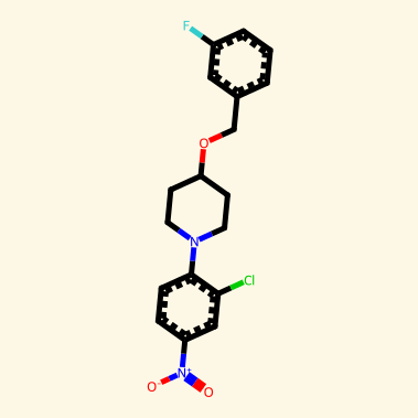 O=[N+]([O-])c1ccc(N2CCC(OCc3cccc(F)c3)CC2)c(Cl)c1